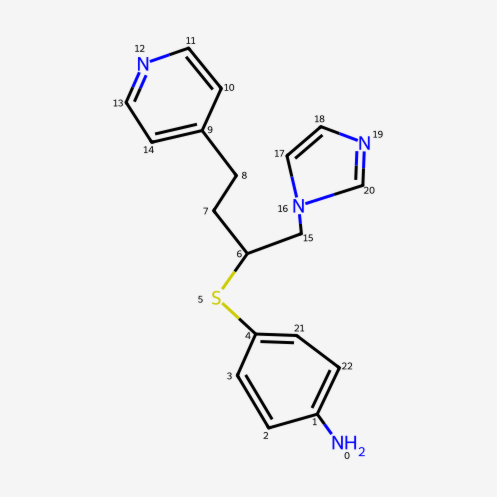 Nc1ccc(SC(CCc2ccncc2)Cn2ccnc2)cc1